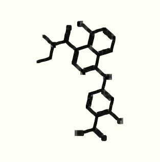 CCN(C)C(=O)c1cnc(Nc2ccc(C(=O)O)c(Cl)c2)c2cccc(Cl)c12